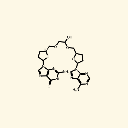 Nc1nc2c(ncn2C2CC[C@@H](COCC(O)OCC3CCC(n4cnc5c(N)ncnc54)O3)O2)c(=O)[nH]1